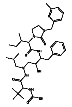 CCC(C)C(C(=O)NC(Cc1ccccc1)C(O)CN(CC(C)C)NC(=O)C(NC(=O)O)C(C)(C)C)N1CCN(Cc2cccc(C)n2)C1=O